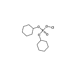 O=P(OCl)(OC1CCCCC1)OC1CCCCC1